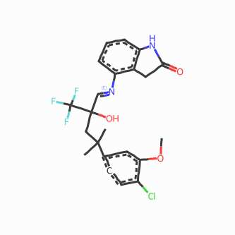 COc1cc(C(C)(C)CC(O)(/C=N/c2cccc3c2CC(=O)N3)C(F)(F)F)ccc1Cl